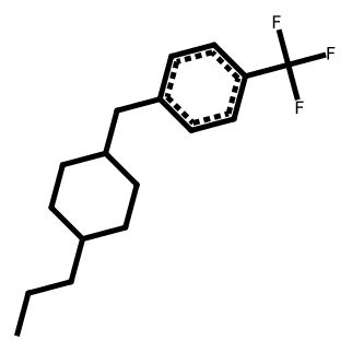 CCCC1CCC(Cc2ccc(C(F)(F)F)cc2)CC1